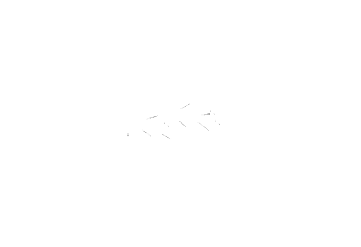 CCn1nc2ccc(-n3ccc(Br)cc3=O)cc2c1C